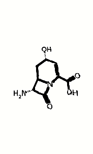 N[C@H]1C(=O)N2C(C(=O)O)=C[C@@H](O)CC12